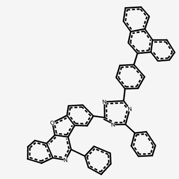 c1ccc(-c2nc(-c3ccc(-c4cc5ccccc5c5ccccc45)cc3)nc(-c3ccc4oc5c6ccccc6nc(-c6ccccc6)c5c4c3)n2)cc1